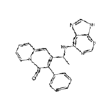 CC(Nc1ncnc2[nH]cnc12)c1cc2ccccn2c(=O)c1-c1ccccc1